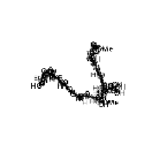 CCc1c2c(nc3ccc(O)cc13)-c1cc3c(c(=O)n1C2)COC(=O)[C@@]3(CC)OC(=O)CNC(=O)COCC(=O)NCCOCCOCCn1cc(CNC(=O)CCCCCO[C@H]2[C@@H](O)[C@@H](O)[C@@H](OC)O[C@@H]2CO[C@H]2O[C@H](CO[C@H]3O[C@H](CO)[C@@H](O)[C@@H](O)[C@H]3O)[C@@H](OCCCCCC(=O)NCCOCCOCCNC(=O)C3CCC(CN4C(=O)CC(SC)C4=O)CC3)[C@@H](O)[C@H]2O)nn1